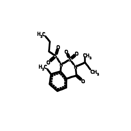 CCCS(=O)(=O)N1c2c(C)cccc2C(=O)N(C(C)C)S1(=O)=O